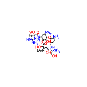 CCC(O)(NC(=N)N)C(=O)N[C@@H]1C[C@H](N)C(O[C@H]2OC(CNCC(N)CO)=CC[C@H]2N)[C@H](O)[C@H]1O[C@H]1OC/C(=C/O)[C@H](NC)[C@H]1O